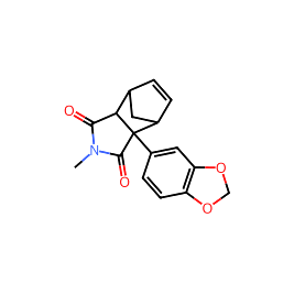 CN1C(=O)C2C3C=CC(C3)C2(c2ccc3c(c2)OCO3)C1=O